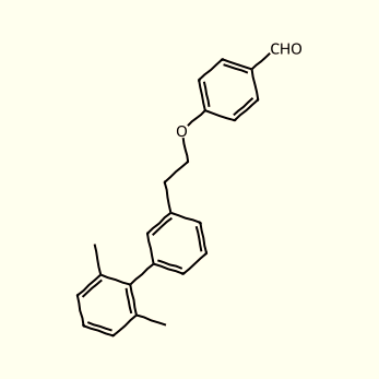 Cc1cccc(C)c1-c1cccc(CCOc2ccc(C=O)cc2)c1